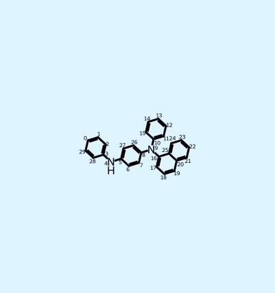 c1ccc(Nc2ccc(N(c3ccccc3)c3cccc4ccccc34)cc2)cc1